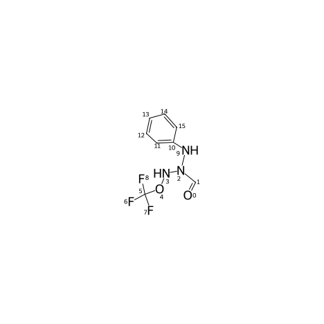 O=CN(NOC(F)(F)F)Nc1ccccc1